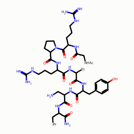 CCC(NC(=O)C(CCCNC(=N)N)NC(=O)C1CCCN1C(=O)C(CCCNC(=N)N)NC(=O)CNC(C)=O)C(=O)NC(Cc1ccc(O)cc1)C(=O)NC(CN)C(=O)NC(CC(C)C)C(N)=O